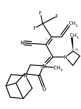 C=C/C(=C(C#N)\C(=N/CN1CC2CC(C1)C2CC(=O)OC)N1CC[C@@H]1C)C(F)(F)F